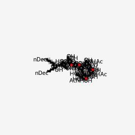 CCCCCCCCCCCCC/C=C/[C@@H](O)[C@H](CO[C@@H]1OC(CO)[C@@H](O[C@@H]2OC(CO)[C@H](O)[C@H](O[C@@H]3OC(CO)[C@@H](O[C@@H]4OC(CO)[C@H](O)[C@H](O[C@]5(C(=O)O)CC(O)[C@@H](NC(C)=O)C([C@H](O)[C@@H](CO)O[C@]6(C(=O)O)CC(O)[C@@H](NC(C)=O)C([C@H](O)[C@@H](CO)O[C@]7(C(=O)O)CC(O)[C@@H](NC(C)=O)C([C@H](O)[C@H](O)CO)O7)O6)O5)C4O)[C@H](O)C3NC(C)=O)C2O)[C@H](O)C1O)NC(=O)CCCCCCCCCCCCCCC